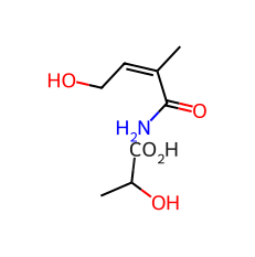 CC(=CCO)C(N)=O.CC(O)C(=O)O